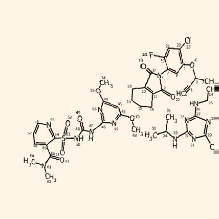 C#CC(C)Oc1cc(N2C(=O)C3=C(CCCC3)C2=O)c(F)cc1Cl.CCNc1nc(Cl)nc(NC(C)C)n1.COc1cc(OC)nc(NC(=O)NS(=O)(=O)c2ncccc2C(=O)N(C)C)n1